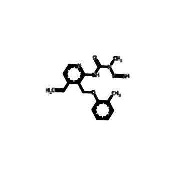 C=Cc1ccnc(NC(=O)N(C)N=N)c1COc1ccccc1C